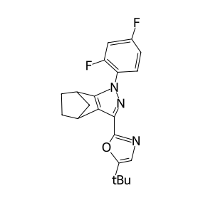 CC(C)(C)c1cnc(-c2nn(-c3ccc(F)cc3F)c3c2C2CCC3C2)o1